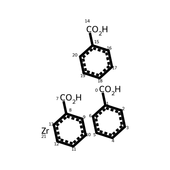 O=C(O)c1ccccc1.O=C(O)c1ccccc1.O=C(O)c1ccccc1.[Zr]